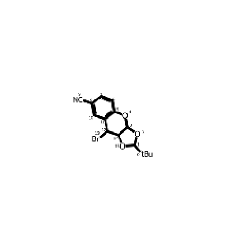 CC(C)(C)C1OC2Oc3ccc(C#N)cc3C(Br)C2O1